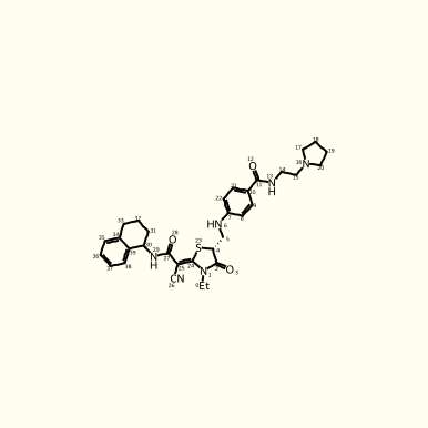 CCN1C(=O)[C@@H](CNc2ccc(C(=O)NCCN3CCCC3)cc2)S/C1=C(/C#N)C(=O)NC1CCCc2ccccc21